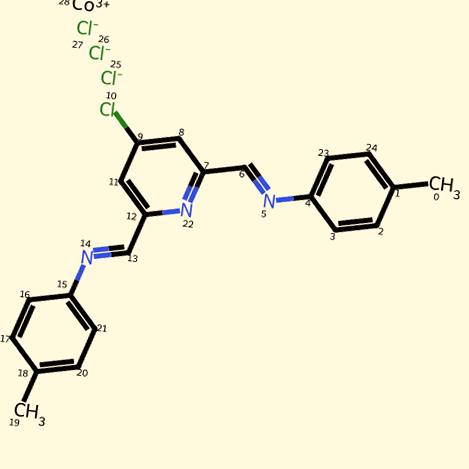 Cc1ccc(N=Cc2cc(Cl)cc(C=Nc3ccc(C)cc3)n2)cc1.[Cl-].[Cl-].[Cl-].[Co+3]